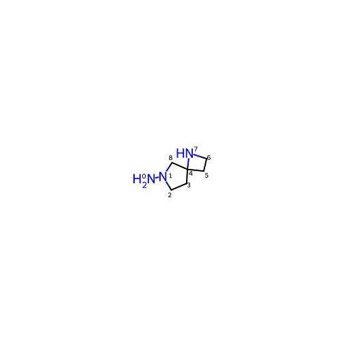 NN1CCC2(CCN2)C1